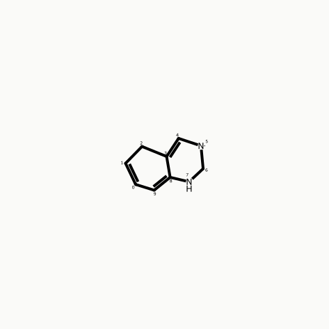 C1=CCC2=C[N]CNC2=C1